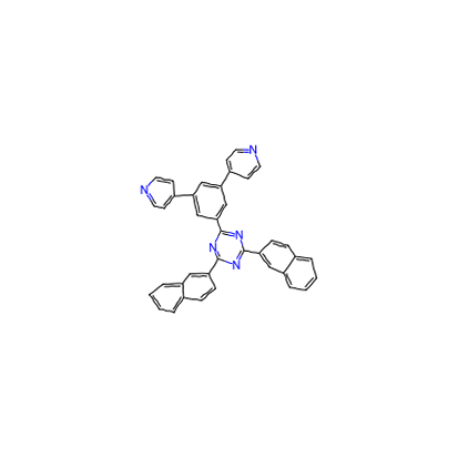 c1ccc2cc(-c3nc(-c4cc(-c5ccncc5)cc(-c5ccncc5)c4)nc(-c4ccc5ccccc5c4)n3)ccc2c1